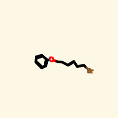 BrCCCCCCOc1ccccc1